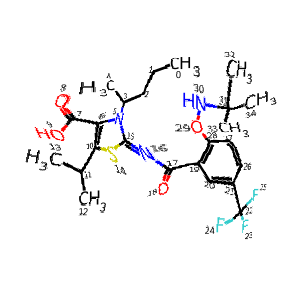 CCCC(C)n1c(C(=O)O)c(C(C)C)sc1=NC(=O)c1cc(C(F)(F)F)ccc1ONC(C)(C)C